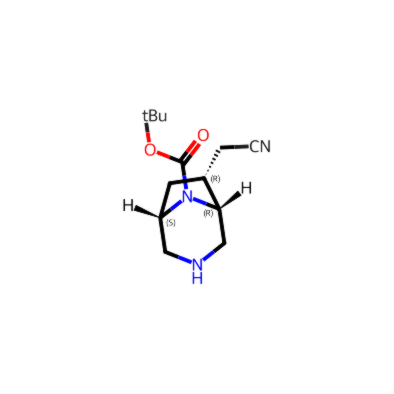 CC(C)(C)OC(=O)N1[C@@H]2CNC[C@H]1[C@@H](CC#N)C2